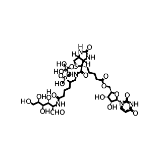 O=C[C@H](NC(=O)CCCC(CNC(=O)[C@@]1(CCCCC(=O)OC[C@H]2O[C@@H](n3ccc(=O)[nH]c3=O)[C@H](O)[C@@H]2O)SC[C@@H]2NC(=O)N[C@@H]21)P(=O)(O)OP(=O)(O)O)[C@@H](O)[C@@H](O)[C@H](O)CO